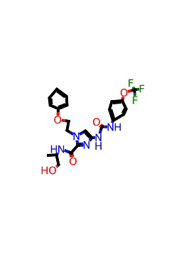 CC(CO)NC(=O)c1nc(NC(=O)Nc2ccc(OC(F)(F)F)cc2)cn1CCOc1ccccc1